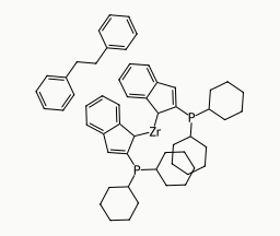 C1=C(P(C2CCCCC2)C2CCCCC2)[CH]([Zr][CH]2C(P(C3CCCCC3)C3CCCCC3)=Cc3ccccc32)c2ccccc21.c1ccc(CCc2ccccc2)cc1